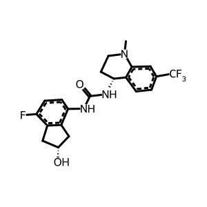 CN1CC[C@@H](NC(=O)Nc2ccc(F)c3c2C[C@H](O)C3)c2ccc(C(F)(F)F)cc21